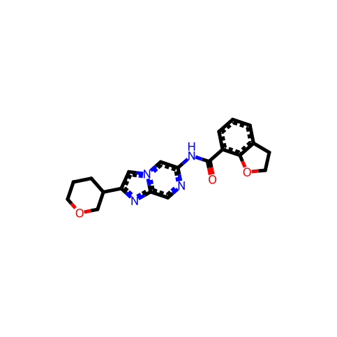 O=C(Nc1cn2cc(C3CCCOC3)nc2cn1)c1cccc2c1OCC2